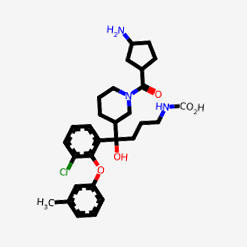 Cc1cccc(Oc2c(Cl)cccc2C(O)(CCCNC(=O)O)C2CCCN(C(=O)C3CCC(N)C3)C2)c1